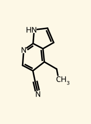 CCc1c(C#N)cnc2[nH]ccc12